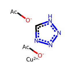 CC(=O)[O-].CC(=O)[O-].[Cu+2].c1nnn[nH]1